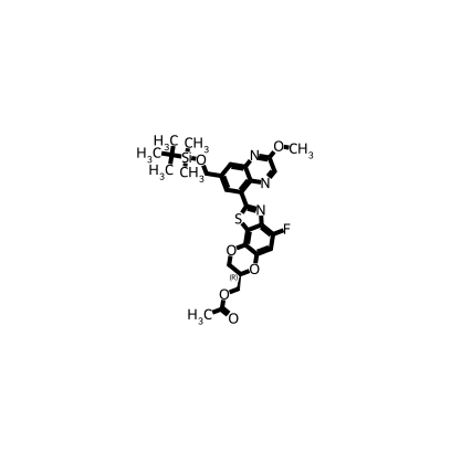 COc1cnc2c(-c3nc4c(F)cc5c(c4s3)OC[C@H](COC(C)=O)O5)cc(CO[Si](C)(C)C(C)(C)C)cc2n1